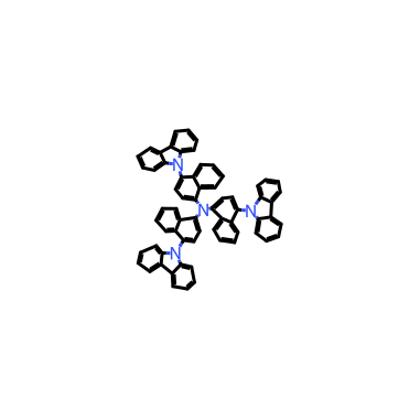 c1ccc2c(-n3c4ccccc4c4ccccc43)ccc(N(c3ccc(-n4c5ccccc5c5ccccc54)c4ccccc34)c3ccc(-n4c5ccccc5c5ccccc54)c4ccccc34)c2c1